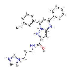 N#Cc1cccc(-c2cc(-c3ccccc3)nc3cc(C(=O)NCCCn4ccnc4)nn23)c1